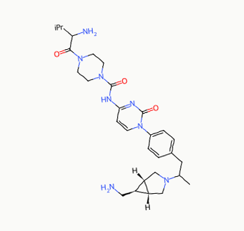 CC(C)C(N)C(=O)N1CCN(C(=O)Nc2ccn(-c3ccc(CC(C)N4C[C@@H]5[C@@H](CN)[C@@H]5C4)cc3)c(=O)n2)CC1